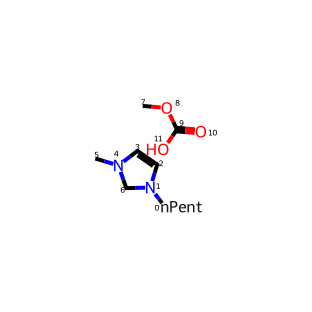 CCCCCN1C=CN(C)C1.COC(=O)O